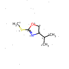 CSC1=NC(C(C)C)CO1